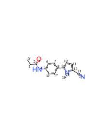 CCC(=O)Nc1ccc(-c2ccc(C#N)n2C)cc1